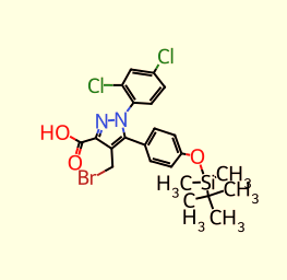 CC(C)(C)[Si](C)(C)Oc1ccc(-c2c(CBr)c(C(=O)O)nn2-c2ccc(Cl)cc2Cl)cc1